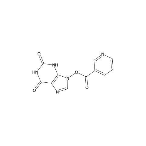 O=C(On1cnc2c(=O)[nH]c(=O)[nH]c21)c1cccnc1